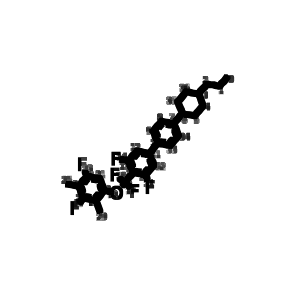 CCCC1CCC(c2ccc(-c3cc(F)c(C(F)(F)Oc4cc(F)c(C)c(F)c4C)c(F)c3)cc2)CC1